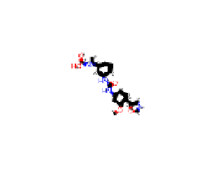 COc1cc(NC(=O)Nc2cccc(C(C)NC(=O)O)c2)ccc1-c1cnco1